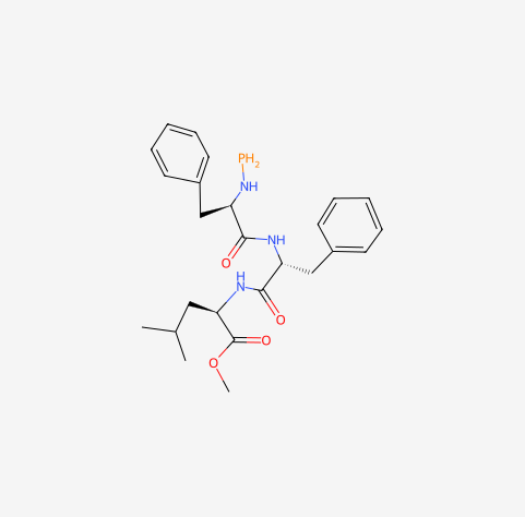 COC(=O)[C@@H](CC(C)C)NC(=O)[C@@H](Cc1ccccc1)NC(=O)[C@@H](Cc1ccccc1)NP